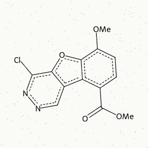 COC(=O)c1ccc(OC)c2oc3c(Cl)nncc3c12